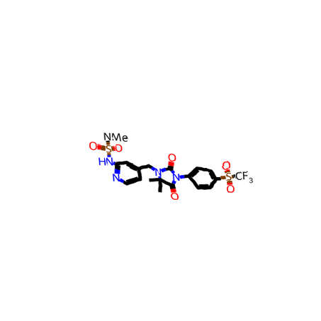 CNS(=O)(=O)Nc1cc(CN2C(=O)N(c3ccc(S(=O)(=O)C(F)(F)F)cc3)C(=O)C2(C)C)ccn1